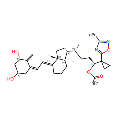 C=C1/C(=C\C=C2/CCC[C@]3(C)[C@@H]([C@H](C)CC[C@H](OC(=O)CCC)C4(c5nc(CCC)no5)CC4)CC[C@@H]23)C[C@@H](O)C[C@@H]1O